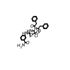 NC(=O)c1cccc(NC(=S)NC(N(C(=O)Cc2ccccc2)C(=O)Cc2ccccc2)C(Cl)(Cl)Cl)c1